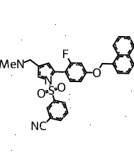 CNCc1cc(-c2ccc(OCc3cccc4ccccc34)cc2F)n(S(=O)(=O)c2cccc(C#N)c2)c1